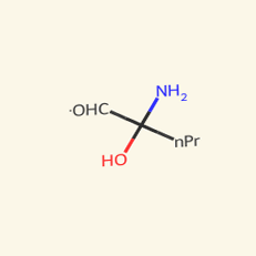 CCCC(N)(O)[C]=O